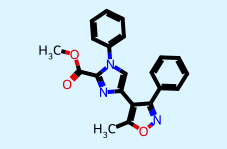 COC(=O)c1nc(-c2c(-c3ccccc3)noc2C)cn1-c1ccccc1